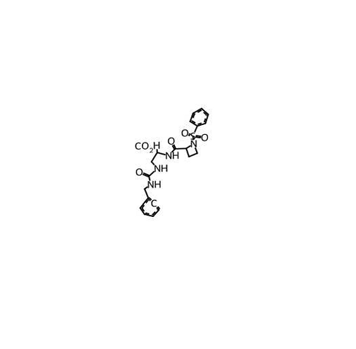 O=C(NCc1ccccc1)NCC(NC(=O)C1CCN1S(=O)(=O)c1ccccc1)C(=O)O